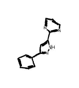 c1ccc(-c2cc(-c3ncccn3)[nH]n2)cc1